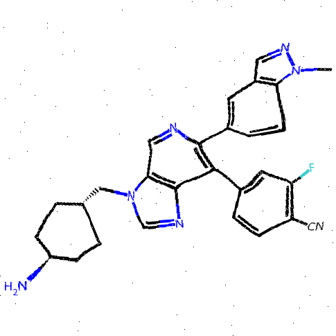 Cn1ncc2cc(-c3ncc4c(ncn4C[C@H]4CC[C@H](N)CC4)c3-c3ccc(C#N)c(F)c3)ccc21